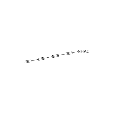 C#CC#CC#CC#CNC(C)=O